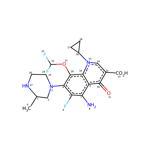 CC1CN(c2c(F)c(N)c3c(=O)c(C(=O)O)cn(C4CC4)c3c2OC(F)F)CCN1